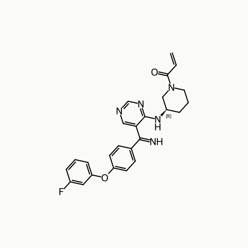 C=CC(=O)N1CCC[C@@H](Nc2ncncc2C(=N)c2ccc(Oc3cccc(F)c3)cc2)C1